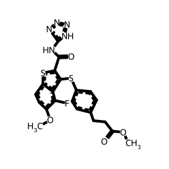 COC(=O)CCc1ccc(Sc2c(C(=O)Nc3nnn[nH]3)sc3ccc(OC)c(F)c23)cc1